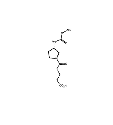 CC(C)(C)OC(=O)N[C@H]1CCN(C(=O)CCCC(=O)O)C1